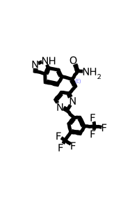 NC(=O)/C(=C/c1ccnc(-c2cc(C(F)(F)F)cc(C(F)(F)F)c2)n1)c1ccc2cn[nH]c2c1